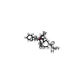 CC(C)NC(=O)N1CC[C@](CC(=O)NOC2CCCCO2)(c2ccc(Br)s2)S(=O)(=O)CC1